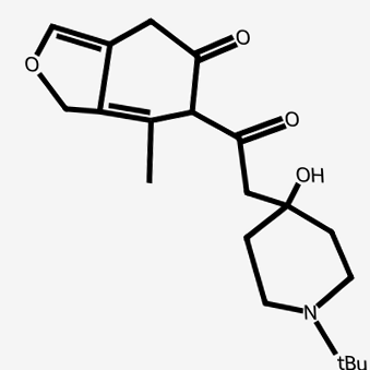 CC1=C2COC=C2CC(=O)C1C(=O)CC1(O)CCN(C(C)(C)C)CC1